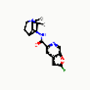 CC1(C)C(NC(=O)c2cc3cc(F)oc3cn2)C2CCN1CC2